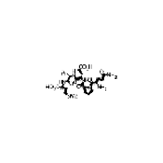 CSCC[C@H](NC(=O)[C@@H](NC(=O)[C@H](CCC(=O)O)NC(=O)[C@@H]1CCCN1C(=O)[C@@H](N)CCC(N)=O)C(C)C)C(=O)O